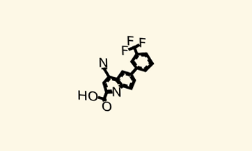 N#Cc1cc(C(=O)O)nc2ccc(-c3cccc(C(F)(F)F)c3)cc12